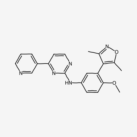 COc1ccc(Nc2nccc(-c3cccnc3)n2)cc1-c1c(C)noc1C